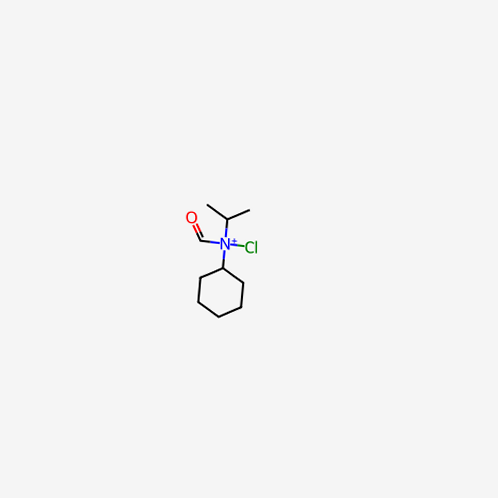 CC(C)[N+](Cl)(C=O)C1CCCCC1